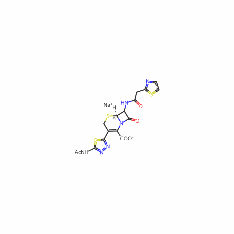 CC(=O)Nc1nnc(C2=C(C(=O)[O-])N3C(=O)C(NC(=O)Cc4nccs4)[C@@H]3SC2)s1.[Na+]